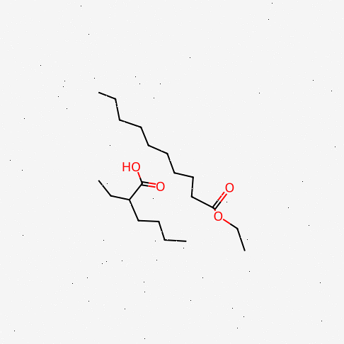 CCCCC(CC)C(=O)O.CCCCCCCCCC(=O)OCC